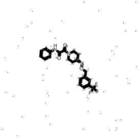 O=C(Nc1ccccc1)C(=O)N1CCC(=NOCc2cccc(C(F)(F)F)c2)CC1